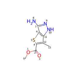 COC(=O)c1sc2c(N)n[nH]c2c1C